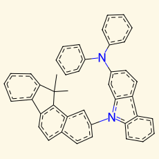 CC1(C)c2ccccc2-c2ccc3ccc(-n4c5ccccc5c5ccc(N(c6ccccc6)c6ccccc6)cc54)cc3c21